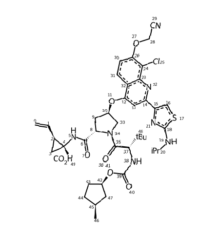 C=C[C@@H]1C[C@]1(NC(=O)[C@@H]1C[C@@H](Oc2cc(-c3csc(NC(C)C)n3)nc3c(Cl)c(OCC#N)ccc23)CN1C(=O)[C@@H](NC(=O)O[C@@H]1CC[C@H](C)C1)C(C)(C)C)C(=O)O